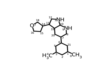 CC1CC(C)CC(C2CNC3NCC(C4CCOC4)C3C2)C1